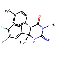 CN1C(=N)N[C@](C)(c2ccc(F)c(Br)c2)[C@H](c2ccc(C(F)(F)F)cc2)C1=O